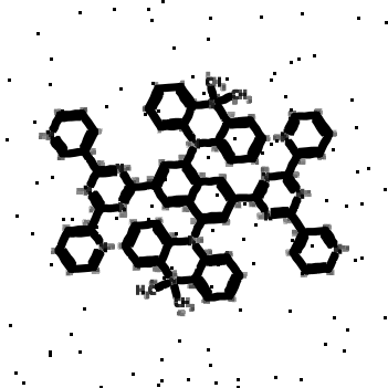 C[Si]1(C)c2ccccc2N(c2cc(-c3nc(-c4cccnc4)nc(-c4ccccn4)n3)cc3c(N4c5ccccc5[Si](C)(C)c5ccccc54)cc(-c4nc(-c5cccnc5)nc(-c5ccccn5)n4)cc23)c2ccccc21